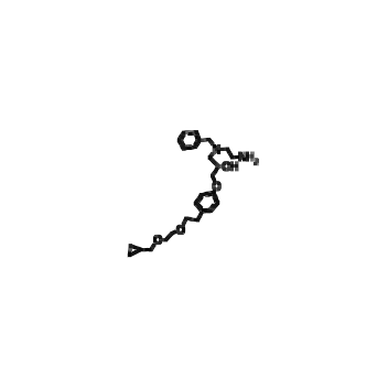 NCCN(Cc1ccccc1)CC(O)COc1ccc(CCOCCOCC2CC2)cc1